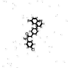 CN(C(=O)CC1CCC(c2ccnc3ccc(F)cc23)CC1)c1ccc(Cl)cc1